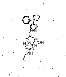 CCNC1=N[C@H]2[C@H](O[C@H](Cn3cc(C4(c5ccccc5)CCCC4)nn3)C[C@@H]2O)S1